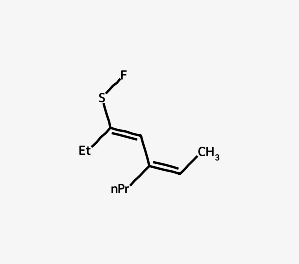 C/C=C(\C=C(/CC)SF)CCC